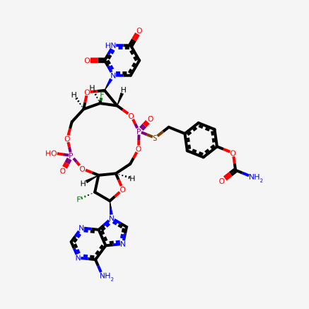 NC(=O)Oc1ccc(CSP2(=O)OC[C@H]3O[C@@H](n4cnc5c(N)ncnc54)[C@H](F)[C@@H]3OP(=O)(O)OC[C@H]3O[C@@H](n4ccc(=O)[nH]c4=O)[C@H](O2)[C@@H]3F)cc1